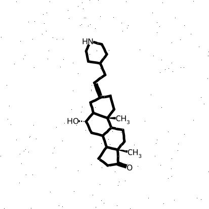 C[C@]12CC/C(=C\CC3CCNCC3)CC1[C@@H](O)CC1C2CC[C@]2(C)C(=O)CCC12